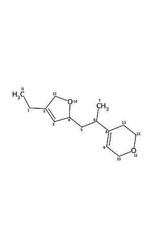 CCC1=CC(CC(C)C2=CCOCC2)OC1